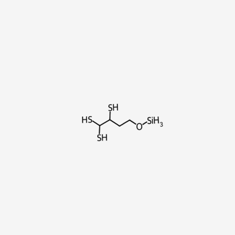 [SiH3]OCCC(S)C(S)S